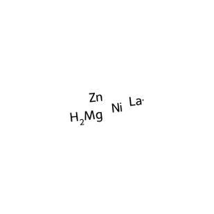 [La].[MgH2].[Ni].[Zn]